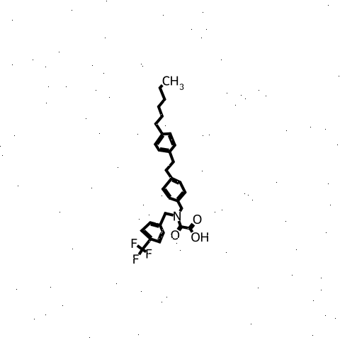 CCCCCCc1ccc(CCc2ccc(CN(Cc3ccc(C(F)(F)F)cc3)C(=O)C(=O)O)cc2)cc1